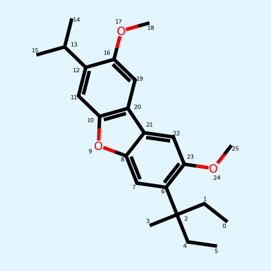 CCC(C)(CC)c1cc2oc3cc(C(C)C)c(OC)cc3c2cc1OC